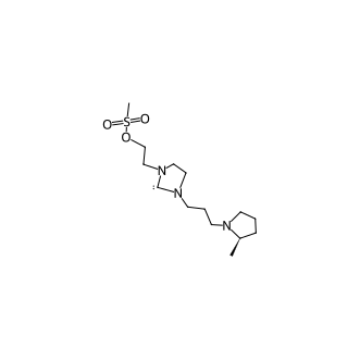 C[C@@H]1CCCN1CCCN1[C]N(CCOS(C)(=O)=O)CC1